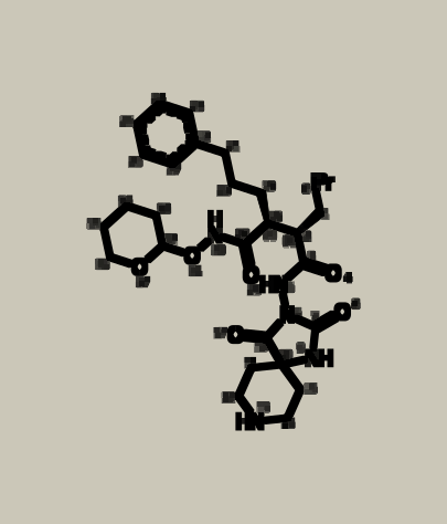 CC(C)C[C@@H](C(=O)NN1C(=O)NC2(CCNCC2)C1=O)[C@H](CCCc1ccccc1)C(=O)NOC1CCCCO1